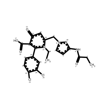 CCC(=O)Nc1ccn(Cc2cc(=O)c(C(=O)O)c(-c3ccc(Cl)c(Cl)c3)n2CC)n1